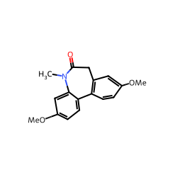 COc1ccc2c(c1)CC(=O)N(C)c1cc(OC)ccc1-2